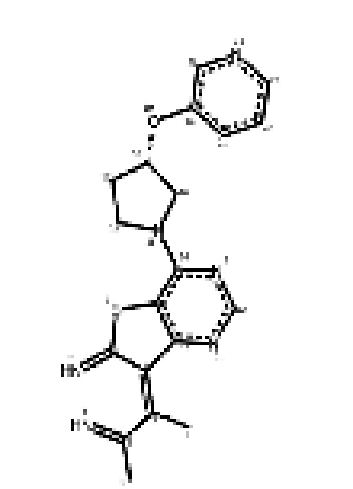 CC(=N)/C(C)=C1\C(=N)Sc2c1ncnc2N1CC[C@H](Oc2cccnc2)C1